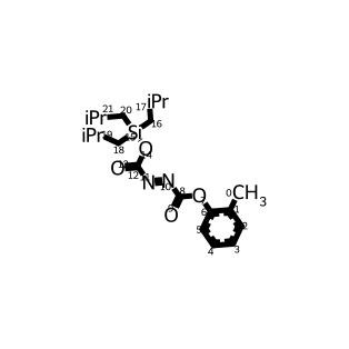 Cc1ccccc1OC(=O)N=NC(=O)O[Si](CC(C)C)(CC(C)C)CC(C)C